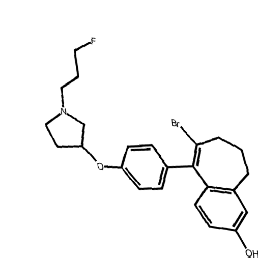 Oc1ccc2c(c1)CCCC(Br)=C2c1ccc(OC2CCN(CCCF)C2)cc1